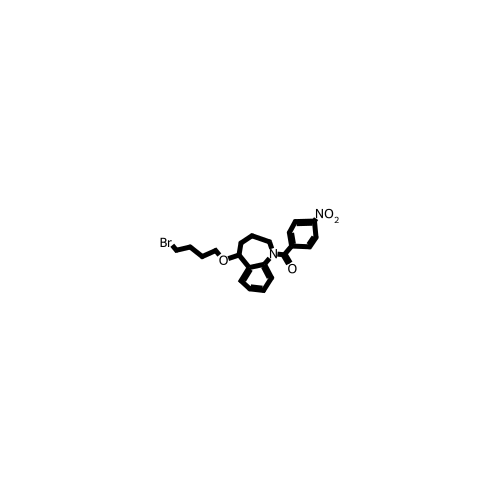 O=C(c1ccc([N+](=O)[O-])cc1)N1CCCC(OCCCCBr)c2ccccc21